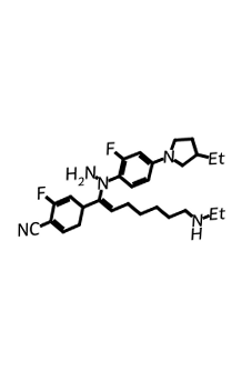 CCNCCCCC/C=C(/C1C=C(F)C(C#N)=CC1)N(N)c1ccc(N2CCC(CC)C2)cc1F